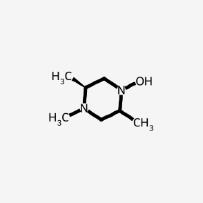 CC1CN(C)[C@@H](C)CN1O